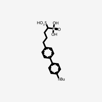 CCCCc1ccc(-c2ccc(CCCC(P(=O)(O)O)S(=O)(=O)O)cc2)cc1